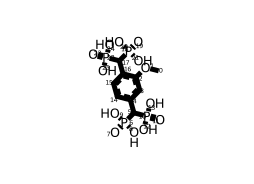 COc1cc(C(P(=O)(O)O)P(=O)(O)O)ccc1C(P(=O)(O)O)P(=O)(O)O